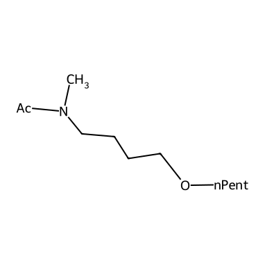 CCCCCOCCCCN(C)C(C)=O